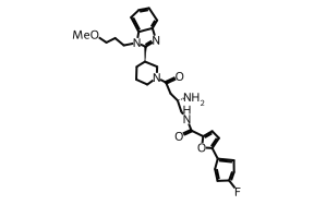 COCCCn1c([C@@H]2CCCN(C(=O)C[C@H](N)CNC(=O)c3ccc(-c4ccc(F)cc4)o3)C2)nc2ccccc21